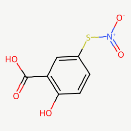 O=C(O)c1cc(S[N+](=O)[O-])ccc1O